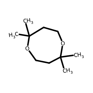 CC1(C)CCOC(C)(C)CCO1